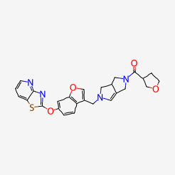 O=C(C1CCOC1)N1CC2=CN(Cc3coc4cc(Oc5nc6ncccc6s5)ccc34)CC2C1